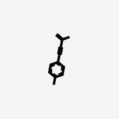 C=C(C)C#Cc1ccc(C)cc1